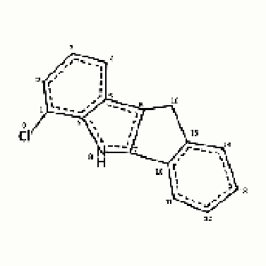 Clc1cccc2c3c([nH]c12)-c1ccccc1C3